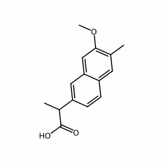 COc1cc2cc(C(C)C(=O)O)ccc2cc1C